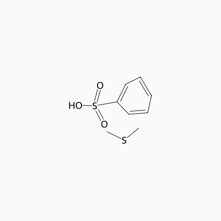 CSC.O=S(=O)(O)c1ccccc1